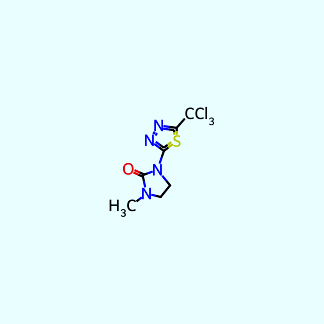 CN1CCN(c2nnc(C(Cl)(Cl)Cl)s2)C1=O